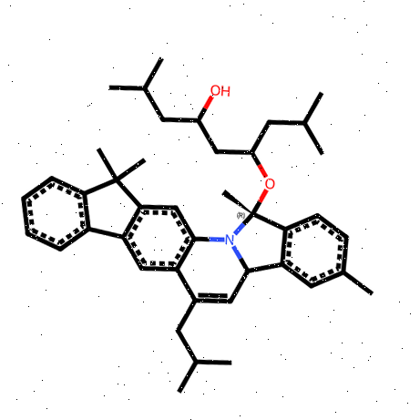 Cc1ccc2c(c1)C1C=C(CC(C)C)c3cc4c(cc3N1[C@]2(C)OC(CC(C)C)CC(O)CC(C)C)C(C)(C)c1ccccc1-4